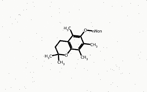 CCCCCCCCCOc1c(C)c(C)c2c(c1C)CCC(C)(C)O2